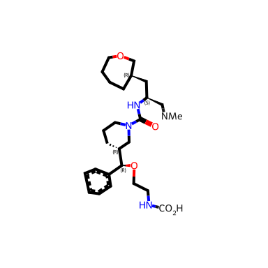 CNC[C@H](C[C@H]1CCCCOC1)NC(=O)N1CCC[C@@H]([C@@H](OCCNC(=O)O)c2ccccc2)C1